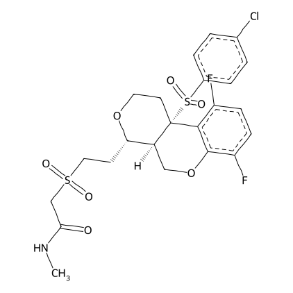 CNC(=O)CS(=O)(=O)CC[C@@H]1OCC[C@@]2(S(=O)(=O)c3ccc(Cl)cc3)c3c(F)ccc(F)c3OC[C@@H]12